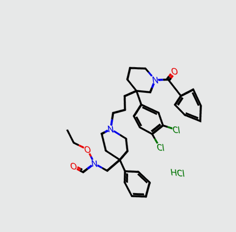 CCON(C=O)CC1(c2ccccc2)CCN(CCCC2(c3ccc(Cl)c(Cl)c3)CCCN(C(=O)c3ccccc3)C2)CC1.Cl